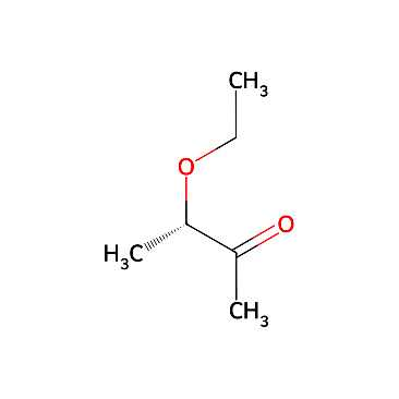 CCO[C@@H](C)C(C)=O